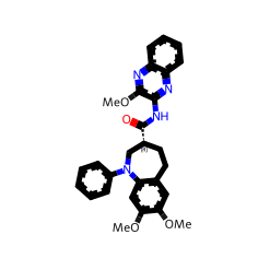 COc1cc2c(cc1OC)N(c1ccccc1)C[C@H](C(=O)Nc1nc3ccccc3nc1OC)CC2